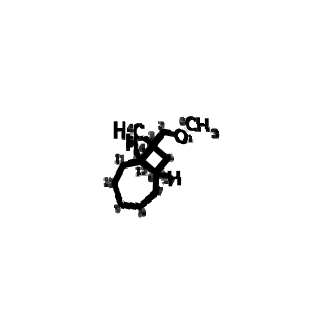 COC[C@]1(C)C[C@@H]2CCCCC[C@@H]21